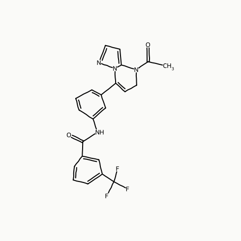 CC(=O)N1CC=C(c2cccc(NC(=O)c3cccc(C(F)(F)F)c3)c2)n2nccc21